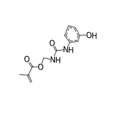 C=C(C)C(=O)OCNC(=O)Nc1cccc(O)c1